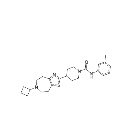 Cc1cccc(NC(=O)N2CCC(c3nc4c(s3)CCN(C3CCC3)CC4)CC2)c1